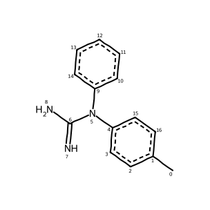 Cc1ccc(N(C(=N)N)c2ccccc2)cc1